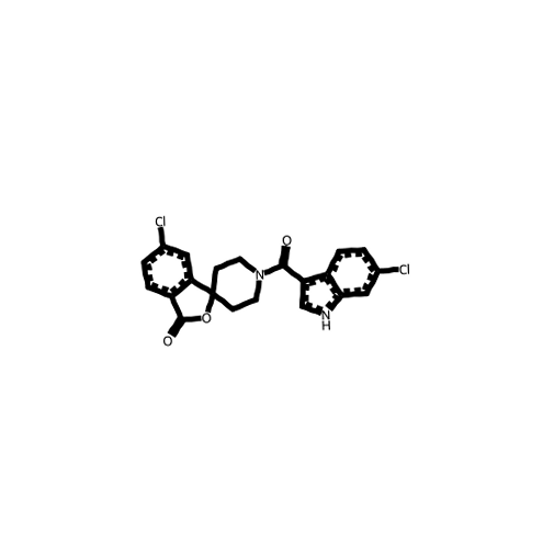 O=C1OC2(CCN(C(=O)c3c[nH]c4cc(Cl)ccc34)CC2)c2cc(Cl)ccc21